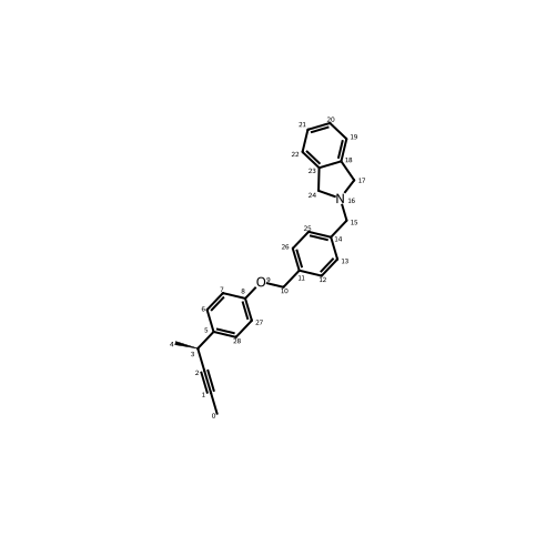 CC#C[C@@H](C)c1ccc(OCc2ccc(CN3Cc4ccccc4C3)cc2)cc1